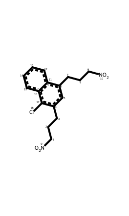 O=[N+]([O-])CCCc1cc(CCC[N+](=O)[O-])c2ccccc2c1Cl